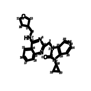 O=c1n(Cc2nc(NCC3CCOC3)c3ccccc3n2)c2cnccc2n1C1CC1